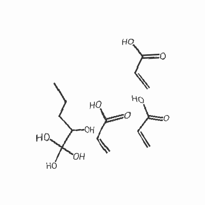 C=CC(=O)O.C=CC(=O)O.C=CC(=O)O.CCCC(O)C(O)(O)O